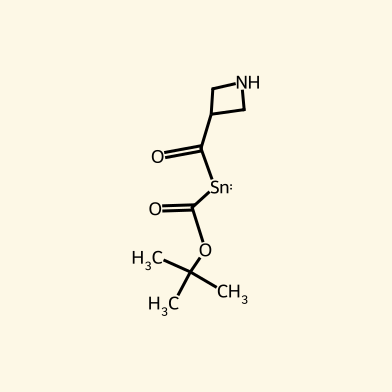 CC(C)(C)O[C](=O)[Sn][C](=O)C1CNC1